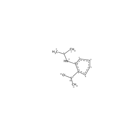 CC(C)Nc1ccccc1[S+](C)[O-]